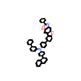 c1ccc(-c2cccc(N(c3ccc(-c4ccc5oc6cc7nc(-c8ccccc8)oc7cc6c5c4)cc3)c3ccc(-c4cccc5ccccc45)cc3)c2)cc1